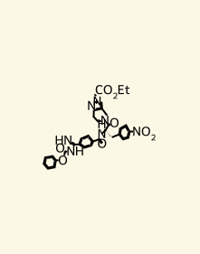 CCOC(=O)Cn1cc2c(n1)CCN(C(=O)[C@H](Cc1ccc([N+](=O)[O-])cc1)NC(=O)c1ccc(C(=N)NC(=O)Oc3ccccc3)cc1)C2